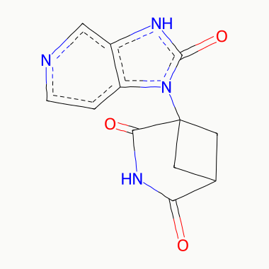 O=C1NC(=O)C2(n3c(=O)[nH]c4cnccc43)CC1C2